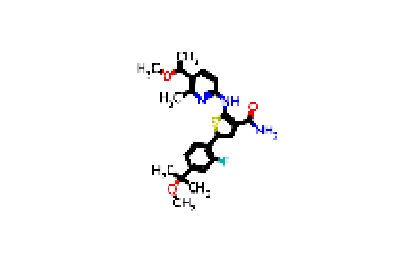 COC(C)c1ccc(NC2=C(C(N)=O)CC(c3ccc(C(C)(C)OC)cc3F)S2)nc1C